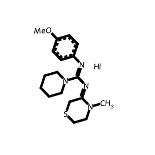 COc1ccc(N=C(N=C2CSCCN2C)N2CCCCC2)cc1.I